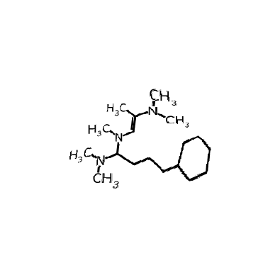 C/C(=C\N(C)C(CCCC1CCCCC1)N(C)C)N(C)C